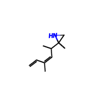 C=C/C(C)=C\C(C)C1(C)CN1